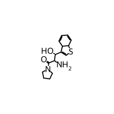 NC(C(=O)N1CCCC1)[C@@H](O)C1=CSC2C=CC=CC12